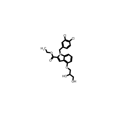 CCOC(=O)c1cc2c(OCC(O)CO)cccc2n1Cc1ccc(Cl)c(Cl)c1